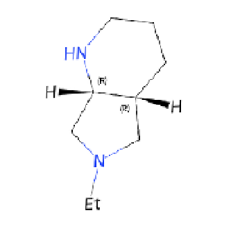 CCN1C[C@H]2CCCN[C@H]2C1